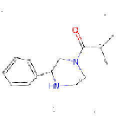 CC(C)C(=O)N1CCNC(c2ccccc2)C1